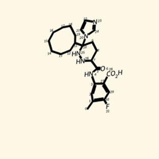 Cc1cc(NC(=O)C2CCC(C3CCCCCCCC3)(n3ccnc3)NN2)c(C(=O)O)cc1F